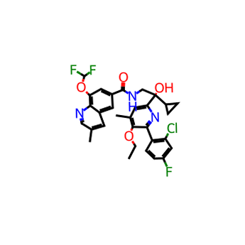 CCOc1c(C)cc([C@@](O)(CNC(=O)c2cc(OC(F)F)c3ncc(C)cc3c2)C2CC2)nc1-c1ccc(F)cc1Cl